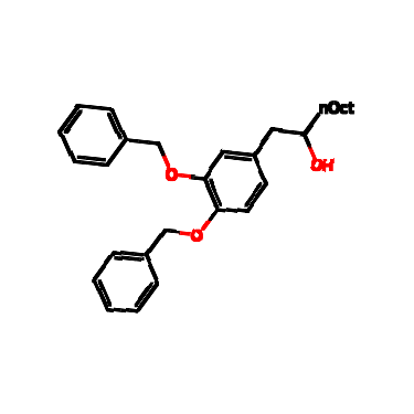 CCCCCCCCC(O)Cc1ccc(OCc2ccccc2)c(OCc2ccccc2)c1